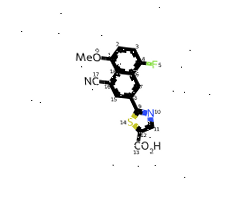 COc1ccc(F)c2cc(-c3ncc(C(=O)O)s3)cc(C#N)c12